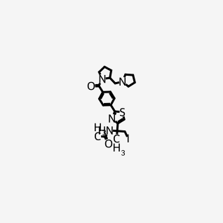 CC(=O)NC(C)(CI)c1csc(-c2ccc(C(=O)N3CCCC3CN3CCCC3)cc2)n1